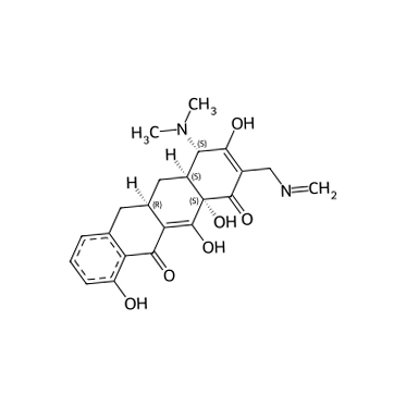 C=NCC1=C(O)[C@@H](N(C)C)[C@@H]2C[C@@H]3Cc4cccc(O)c4C(=O)C3=C(O)[C@]2(O)C1=O